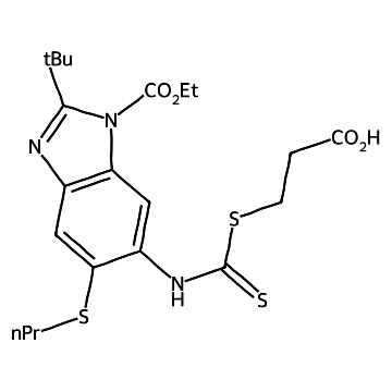 CCCSc1cc2nc(C(C)(C)C)n(C(=O)OCC)c2cc1NC(=S)SCCC(=O)O